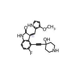 COc1cc[nH]c1/C=C1\C(=O)Nc2ccc(F)c(C#CC3(O)CCNCC3)c21